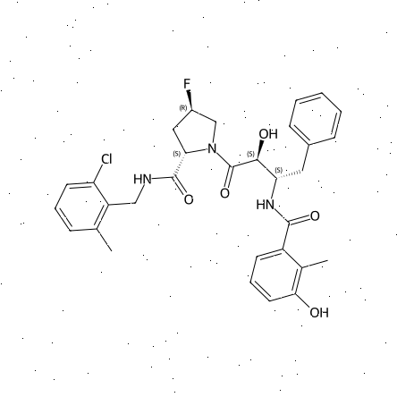 Cc1cccc(Cl)c1CNC(=O)[C@@H]1C[C@@H](F)CN1C(=O)[C@@H](O)[C@H](Cc1ccccc1)NC(=O)c1cccc(O)c1C